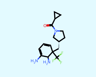 NC1=CC=CC(C[C@H]2CCN(C(=O)C3CC3)C2)(C(F)(F)F)C1N